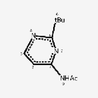 CC(=O)Nc1ccnc(C(C)(C)C)n1